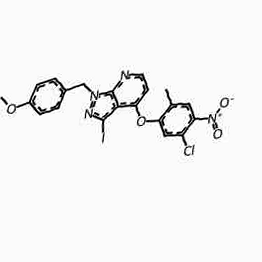 COc1ccc(Cn2nc(I)c3c(Oc4cc(Cl)c([N+](=O)[O-])cc4C)ccnc32)cc1